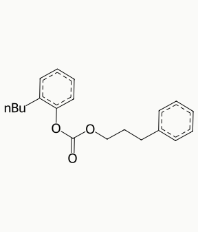 CCCCc1ccccc1OC(=O)OCCCc1ccccc1